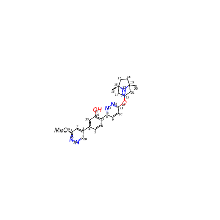 COc1cc(-c2ccc(-c3ccc(O[C@H]4C[C@]5(C)CC[C@](C)(C4)N5)nn3)c(O)c2)cnn1